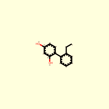 CCc1ccccc1-c1ccc(O)cc1O